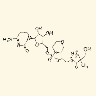 CC(C)(CO)C(=O)SCCOP(=O)(OC[C@H]1O[C@@H](n2ccc(N)nc2=O)[C@@H](O)C1O)N1CCOCC1